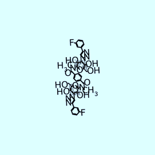 CN(C(=O)c1ccc(C(=O)N(C)[C@@H]2O[C@H](CO)[C@H](O)[C@H](n3cc(-c4cccc(F)c4)nn3)[C@H]2O)cc1)[C@@H]1O[C@H](CO)[C@H](O)[C@H](n2cc(-c3cccc(F)c3)nn2)[C@H]1O